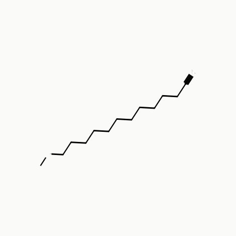 COCCCCCCCCCCCC#N